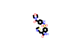 O=C1Nc2ccc(S(=O)(=O)Nc3ccc(C(=O)N4CCOCC4)cc3)cc2/C1=C\c1nccs1